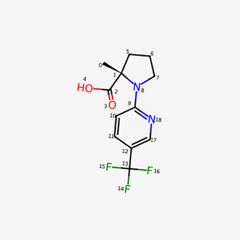 C[C@@]1(C(=O)O)CCCN1c1ccc(C(F)(F)F)cn1